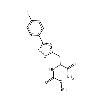 CC(C)(C)OC(=O)NC(Cc1nc(-c2ccc(F)cn2)no1)C(N)=O